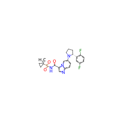 CC1(S(=O)(=O)NC(=O)c2cnc3ccc(N4CCC[C@@H]4c4cc(F)ccc4F)cn23)CC1